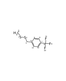 CSSCc1ccc(C(F)(F)F)cc1